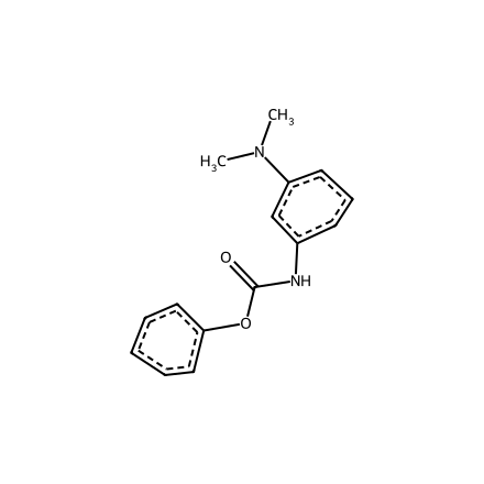 CN(C)c1cccc(NC(=O)Oc2ccccc2)c1